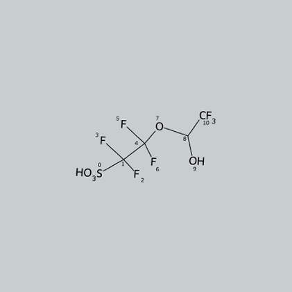 O=S(=O)(O)C(F)(F)C(F)(F)OC(O)C(F)(F)F